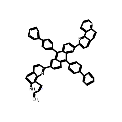 C=C/C=C\c1c(N)ccc2ccc(-c3ccc4c(-c5ccc(-c6ccccc6)cc5)c5cc(-c6ccc7ccc8ncccc8c7n6)ccc5c(-c5ccc(-c6ccccc6)cc5)c4c3)nc12